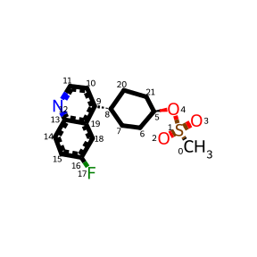 CS(=O)(=O)O[C@H]1CC[C@H](c2ccnc3ccc(F)cc32)CC1